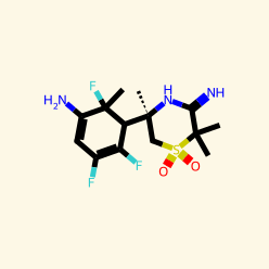 CC1(F)C(N)=CC(F)=C(F)C1[C@]1(C)CS(=O)(=O)C(C)(C)C(=N)N1